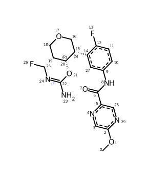 COc1cnc(C(=O)Nc2ccc(F)c([C@H]3COCC[C@H]3O/C(N)=N\CF)c2)cn1